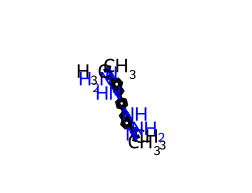 CC(C)/N=C(\N)c1ccc2cc(-c3ccc(-c4cc5ccc(/C(N)=N/C(C)C)cc5[nH]4)cc3)[nH]c2c1